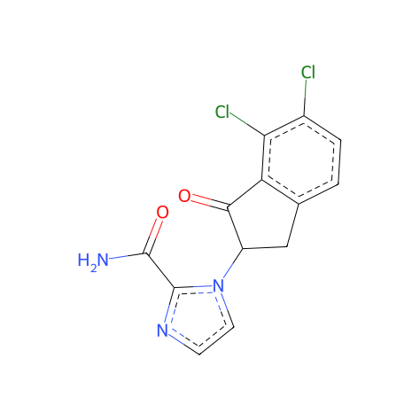 NC(=O)c1nccn1C1Cc2ccc(Cl)c(Cl)c2C1=O